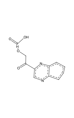 O=C(CO[PH](=O)O)c1cnc2ccccc2n1